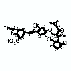 CCc1nc2c(C(=O)O)cc(C#Cc3ccc(OCc4c(-c5c(Cl)cccc5Cl)noc4C4CC4)cc3Cl)cc2o1